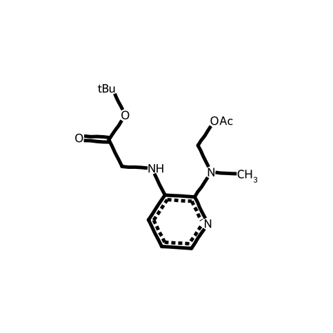 CC(=O)OCN(C)c1ncccc1NCC(=O)OC(C)(C)C